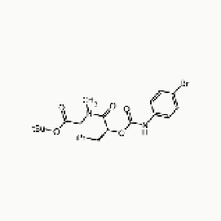 CC(C)C[C@H](OC(=O)Nc1ccc(Br)cc1)C(=O)N(C)CC(=O)OC(C)(C)C